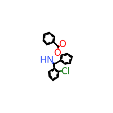 N=C(c1ccccc1Cl)c1ccccc1OC(=O)c1ccccc1